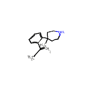 C=C(C)c1ccccc1C1(C)CCNCC1